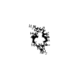 Cc1cscc1CCNc1nc(N)nc(N(C)CCc2cc(CCN(C)c3nc(N)nc(N)n3)cs2)n1